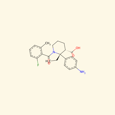 CC[C@]1(c2ccc(N)cc2)[C@@H](C(=O)O)CCCN1C(=O)c1c(C)cccc1F